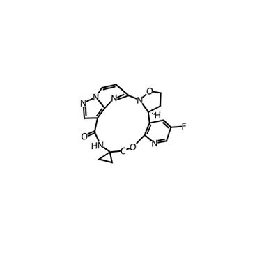 O=C1NC2(CC2)COc2ncc(F)cc2[C@@H]2CCON2c2ccn3ncc1c3n2